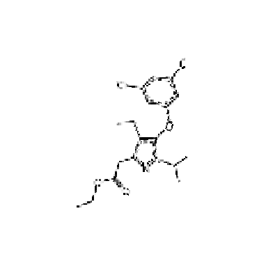 CCOC(=O)Cc1nn(C(C)C)c(Oc2cc(Cl)cc(Cl)c2)c1CC